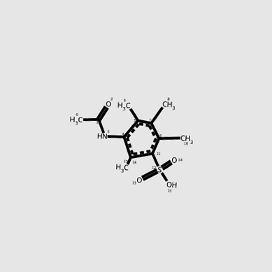 CC(=O)Nc1c(C)c(C)c(C)c(S(=O)(=O)O)c1C